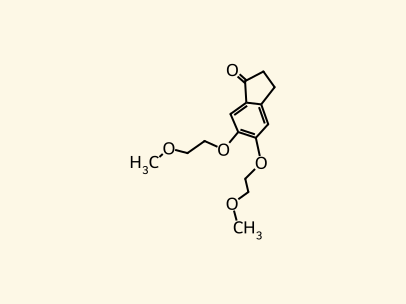 COCCOc1cc2c(cc1OCCOC)C(=O)CC2